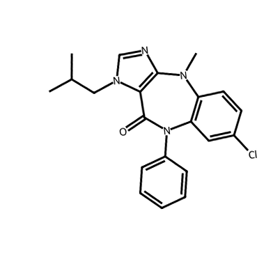 CC(C)Cn1cnc2c1C(=O)N(c1ccccc1)c1cc(Cl)ccc1N2C